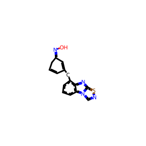 ON=C1C=C(Cc2cccc3c2nc2sncn23)C=CC1